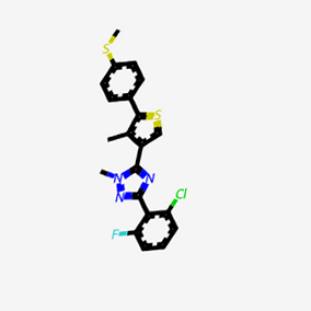 CSc1ccc(-c2scc(-c3nc(-c4c(F)cccc4Cl)nn3C)c2C)cc1